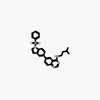 CC(C)CCNc1ncnc2ccc(-c3ccc4c(ccn4S(=O)(=O)c4ccccc4)c3)cc12